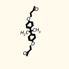 CC(C)(c1ccc(OCCC2CO2)cc1)c1ccc(OCCC2CO2)cc1